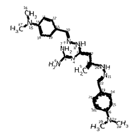 C=C(/C=C(\N=C(N)N)N/N=C/C1C=CC(N(C)C)=CC1)N/N=C/c1ccc(N(C)C)cc1